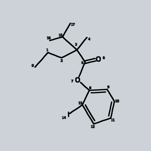 CCCC(C)(C(=O)Oc1ccccc1I)C(C)C